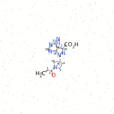 C=CC(=O)N1CC[C@@H](n2nc(C(=O)O)c3c(N)ncnc32)C1